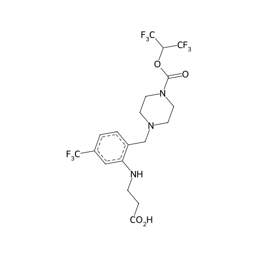 O=C(O)CCNc1cc(C(F)(F)F)ccc1CN1CCN(C(=O)OC(C(F)(F)F)C(F)(F)F)CC1